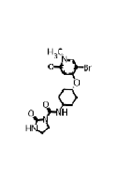 Cn1cc(Br)c(O[C@H]2CC[C@H](NC(=O)N3CCNC3=O)CC2)cc1=O